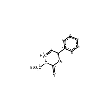 C=CC(OC(=O)OC(=O)OCC)c1ccccc1